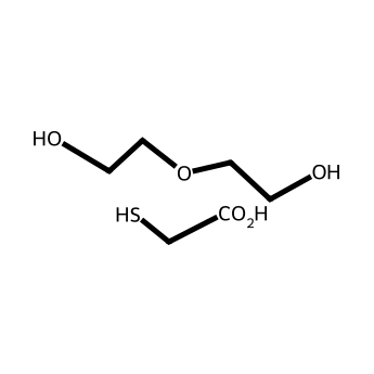 O=C(O)CS.OCCOCCO